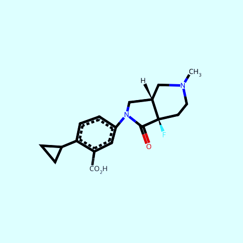 CN1CC[C@]2(F)C(=O)N(c3ccc(C4CC4)c(C(=O)O)c3)C[C@@H]2C1